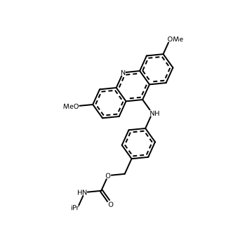 COc1ccc2c(Nc3ccc(COC(=O)NC(C)C)cc3)c3ccc(OC)cc3nc2c1